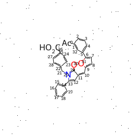 CC(=O)c1cccc(-c2ccc(C=C3C=C(c4ccccc4)N(Cc4ccc(C(=O)O)cc4)C3=O)o2)c1